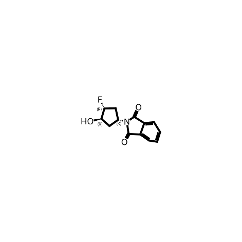 O=C1c2ccccc2C(=O)N1[C@@H]1C[C@@H](O)[C@H](F)C1